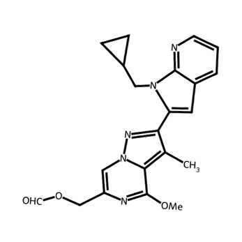 COc1nc(COC=O)cn2nc(-c3cc4cccnc4n3CC3CC3)c(C)c12